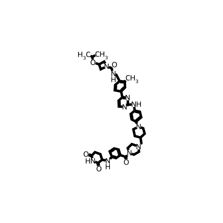 Cc1cc(-c2ccnc(Nc3ccc(N4CCC(CN5CCN(C(=O)c6cccc(NC7CCC(=O)NC7=O)c6)CC5)CC4)cc3)n2)ccc1CNC(=O)N1CC(OC(C)C)C1